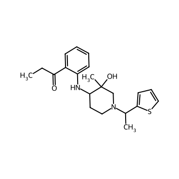 CCC(=O)c1ccccc1NC1CCN(C(C)c2cccs2)CC1(C)O